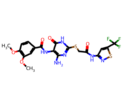 COc1ccc(C(=O)Nc2c(N)nc(SCC(=O)Nc3cc(C(F)(F)F)sn3)[nH]c2=O)cc1OC